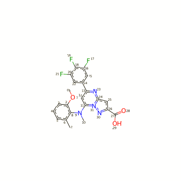 COc1cccc(C)c1N(C)c1cc(-c2cc(F)c(F)c(F)c2)nc2cc(C(=O)O)nn12